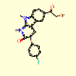 Cn1c(=O)c(-c2ccc(F)cc2)cc2c3cc(C(=O)CBr)ccc3n(C)c21